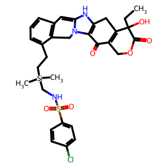 CCC1(O)C(=O)OCC2=C1CC1=C(C2=O)N2Cc3c(cccc3CC[Si](C)(C)CNS(=O)(=O)c3ccc(Cl)cc3)C=C2N1